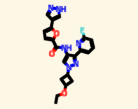 CCOC1CC(n2cc(NC(=O)c3ccc(-c4cn[nH]c4)o3)c(-c3cccc(F)n3)n2)C1